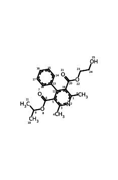 Cc1nc(C)c(C(=O)OC(C)C)c(-c2ccccc2)c1C(=O)OCCO